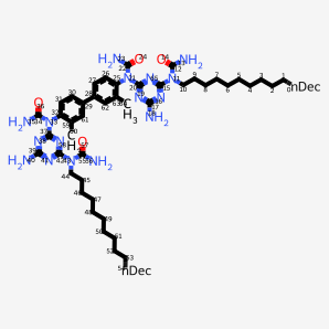 CCCCCCCCCCCCCCCCCCCCN(C(N)=O)c1nc(N)nc(N(C(N)=O)c2ccc(-c3ccc(N(C(N)=O)c4nc(N)nc(N(CCCCCCCCCCCCCCCCCCCC)C(N)=O)n4)c(C)c3)cc2C)n1